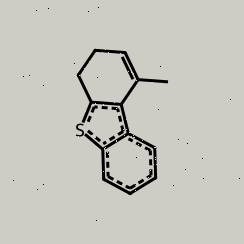 CC1=CCCc2sc3ccccc3c21